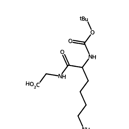 CC(C)(C)OC(=O)NC(CCCCN)C(=O)NCC(=O)O